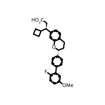 COc1ccc(F)c(-c2ccc([C@H]3CCc4ccc([C@H](CC(=O)O)C5CCC5)cc4O3)cc2)c1